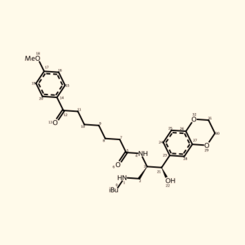 CCC(C)NC[C@@H](NC(=O)CCCCCC(=O)c1ccc(OC)cc1)[C@H](O)c1ccc2c(c1)OCCO2